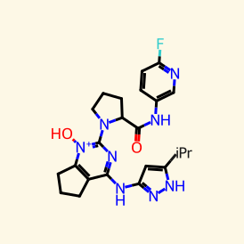 CC(C)c1cc(Nc2nc(N3CCCC3C(=O)Nc3ccc(F)nc3)[n+](O)c3c2CCC3)n[nH]1